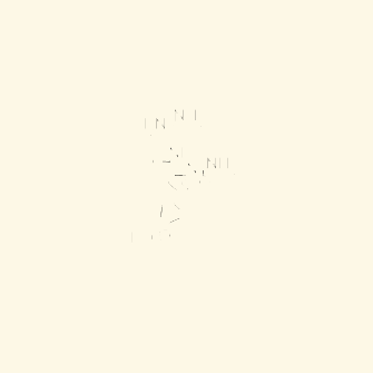 COc1ccc(-c2cc(C(=O)NCCC(N)N)c(NC(N)=O)s2)cc1